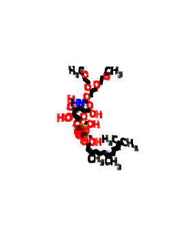 COCCOCC(COC(=O)N[C@@H]1C(CO)O[C@H](O[P@@](=O)(CO)O[P@@](=O)(CO)OC/C=C(/C)CC/C=C(\C)CCC=C(C)C)C(O)[C@H]1O)OCCOC